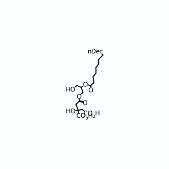 CCCCCCCCCCCCCCCCCC(=O)OC(CO)COC(=O)CC(O)(CC(=O)O)C(=O)O